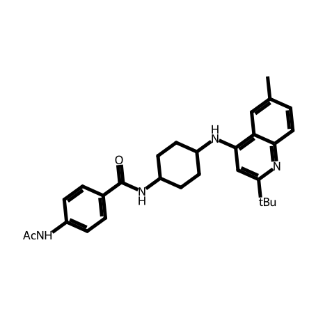 CC(=O)Nc1ccc(C(=O)NC2CCC(Nc3cc(C(C)(C)C)nc4ccc(C)cc34)CC2)cc1